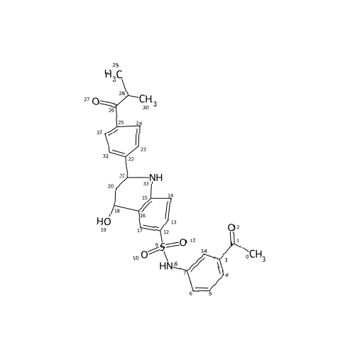 CC(=O)c1cccc(NS(=O)(=O)c2ccc3c(c2)C(O)CC(c2ccc(C(=O)C(C)C)cc2)N3)c1